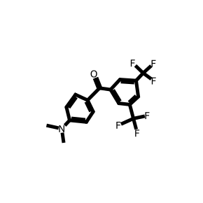 CN(C)c1ccc(C(=O)c2cc(C(F)(F)F)cc(C(F)(F)F)c2)cc1